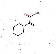 C=C(C(=O)OCC(C)C)C1CCCCC1